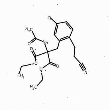 CCOC(=O)C(Cc1cc(Cl)ccc1CCC#N)(NC(C)=O)C(=O)OCC